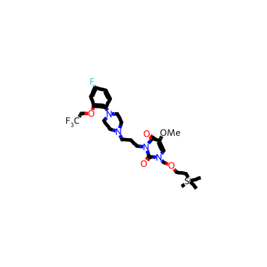 COc1cn(COCC[Si](C)(C)C)c(=O)n(CCCN2CCN(c3ccc(F)cc3OCC(F)(F)F)CC2)c1=O